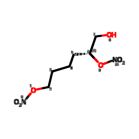 O=[N+]([O-])OCCCC[C@H](CO)O[N+](=O)[O-]